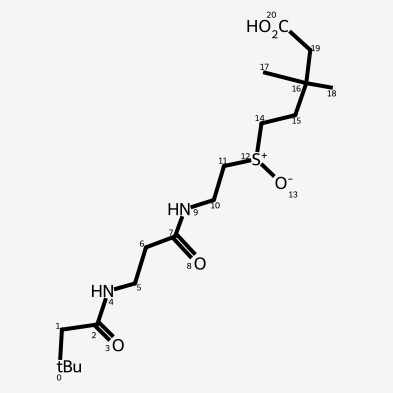 CC(C)(C)CC(=O)NCCC(=O)NCC[S+]([O-])CCC(C)(C)CC(=O)O